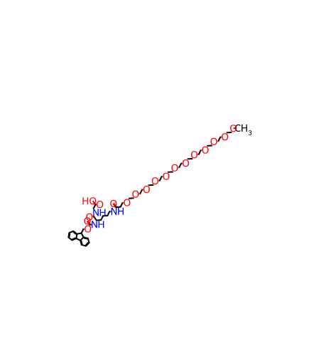 COCCOCCOCCOCCOCCOCCOCCOCCOCCOCCOCCOCCC(=O)NCCCCC(NC(=O)OCC1c2ccccc2-c2ccccc21)C(=O)NCC(=O)O